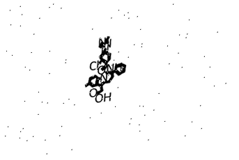 Cc1ccc2c(c1)c(CC(=O)O)c1n2C[C@@](NC(=O)c2ccc(-n3cnc(C)n3)cc2Cl)(c2ccccc2)CC1